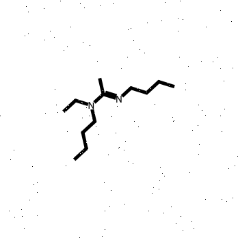 CCCC/N=C(\C)N(CC)CCCC